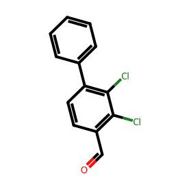 O=Cc1ccc(-c2ccccc2)c(Cl)c1Cl